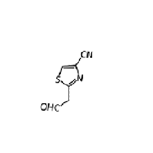 N#Cc1csc(CC=O)n1